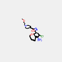 COCCCN1CCC(c2nnc(-c3cc(Cl)c(N)c4c3OCCC4)o2)CC1